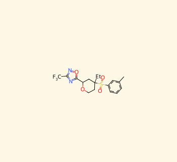 CCC1(S(=O)(=O)c2cccc(C)c2)CCOC(c2nc(C(F)(F)F)no2)C1